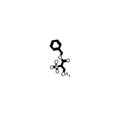 CCC(C(=O)OCc1ccccc1)S(=O)(=O)Cl